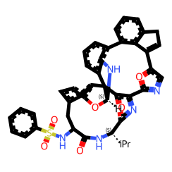 CC(C)[C@@H]1NC(=O)C(NS(=O)(=O)c2ccccc2)Cc2ccc3c(c2)C24c5cccc(c5N[C@H]2O3)-c2cccc3c2C(=CC3)c2cnc(o2)-c2nc1oc24